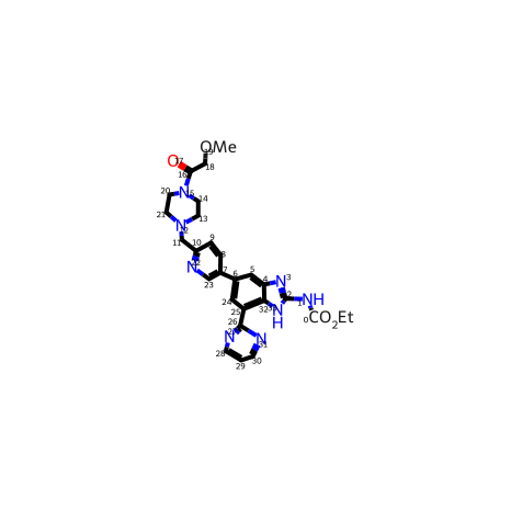 CCOC(=O)Nc1nc2cc(-c3ccc(CN4CCN(C(=O)COC)CC4)nc3)cc(-c3ncccn3)c2[nH]1